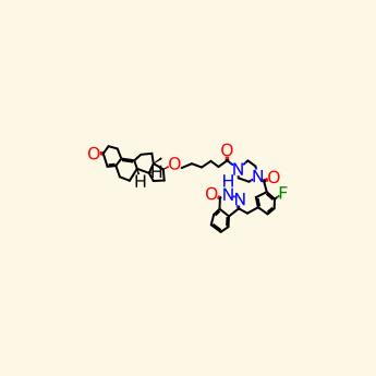 C[C@]12CCC3=C4CCC(=O)C=C4CC[C@H]3[C@@H]1CC[C@@H]2OCCCCCC(=O)N1CCN(C(=O)c2cc(Cc3n[nH]c(=O)c4ccccc34)ccc2F)CC1